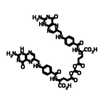 Nc1nc(=O)c2nc(CNc3ccc(C(=O)N[C@@H](CCC(=O)OC(=O)OC(=O)CC[C@H](NC(=O)c4ccc(NCc5cnc6[nH]c(N)nc(=O)c6n5)cc4)C(=O)O)C(=O)O)cc3)cnc2[nH]1